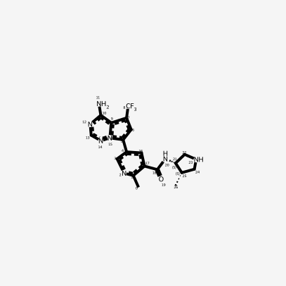 Cc1ncc(-c2cc(C(F)(F)F)c3c(N)ncnn23)cc1C(=O)N[C@@H]1CNC[C@@H]1C